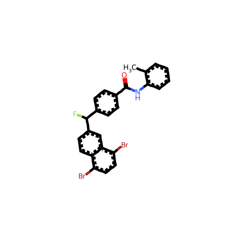 Cc1ccccc1NC(=O)c1ccc(C(F)c2ccc3c(Br)ccc(Br)c3c2)cc1